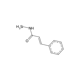 O=C(C=Cc1ccccc1)N[SiH3]